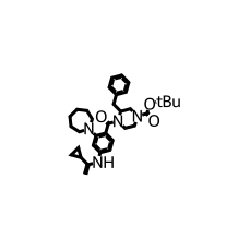 C=C(Nc1ccc(C(=O)N2CCN(C(=O)OC(C)(C)C)CC2Cc2ccccc2)c(N2CCCCCC2)c1)C1CC1